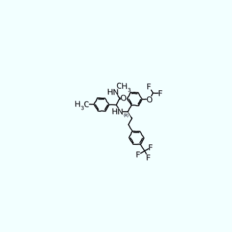 CNC(=O)C(N[C@H](CCc1ccc(C(F)(F)F)cc1)c1cccc(OC(F)F)c1)c1ccc(C)cc1